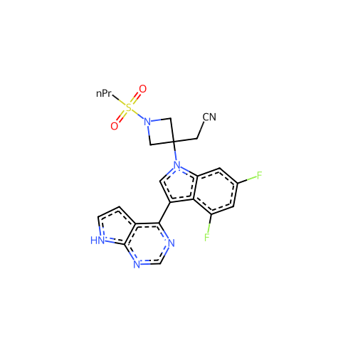 CCCS(=O)(=O)N1CC(CC#N)(n2cc(-c3ncnc4[nH]ccc34)c3c(F)cc(F)cc32)C1